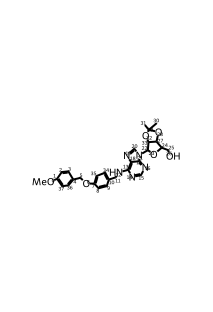 COc1ccc(COc2ccc(CNc3ncnc4c3ncn4C3OC(CO)C4OC(C)(C)OC43)cc2)cc1